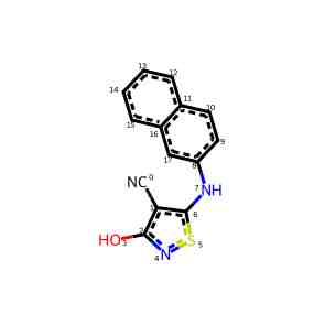 N#Cc1c(O)nsc1Nc1ccc2ccccc2c1